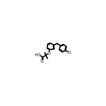 CC(C)(Oc1cccc(Cc2ccc(Cl)cc2)c1)C(=O)O